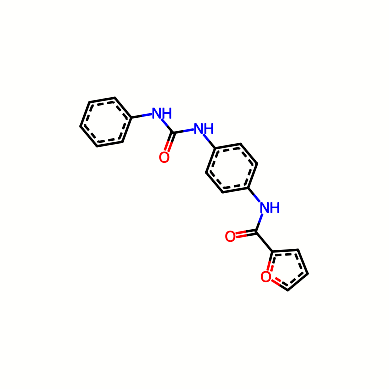 O=C(Nc1ccccc1)Nc1ccc(NC(=O)c2ccco2)cc1